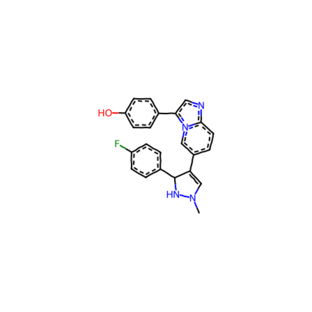 CN1C=C(c2ccc3ncc(-c4ccc(O)cc4)n3c2)C(c2ccc(F)cc2)N1